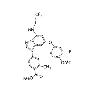 COC(=O)c1ccc(-n2cnc3c(NCCC(F)(F)F)cc(Oc4ccc(OC)c(F)c4)cc32)cc1C